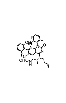 C=CCCN(c1nc(=O)n(-c2c(C)ccnc2C(C)C)c2nc(-c3c(O)cccc3F)c(Cl)cc12)C(C)CNC=O